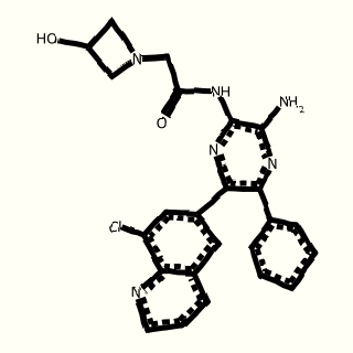 Nc1nc(-c2ccccc2)c(-c2cc(Cl)c3ncccc3c2)nc1NC(=O)CN1CC(O)C1